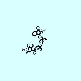 CCCC(C(=O)OCC(CC)(CC)COCC(CC)(CC)COC(=O)C1CCCCC1C(=O)O)C(CC)C(=O)O